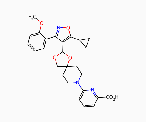 O=C(O)c1cccc(N2CCC3(CC2)COC(c2c(-c4ccccc4OC(F)(F)F)noc2C2CC2)O3)n1